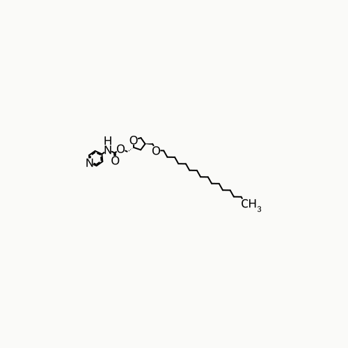 CCCCCCCCCCCCCCCCOC[C@@H]1CO[C@@H](COC(=O)Nc2ccncc2)C1